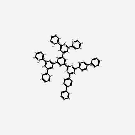 c1ccc(-c2ccc(-c3nc(-c4ccc(-c5ccccc5)cc4)nc(-c4cc(-c5cc(-c6ccccn6)nc(-c6ccccn6)c5)cc(-c5cc(-c6ccccn6)nc(-c6ccccn6)c5)c4)n3)cc2)cc1